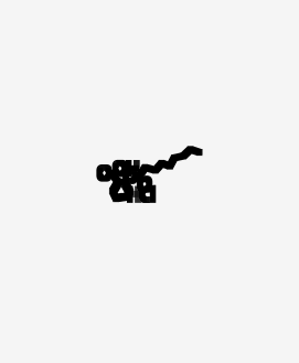 CCCCCCCCC(=O)Oc1ccccc1C(=O)O.Cl